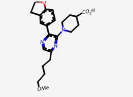 COCCCCc1cnc(-c2ccc3c(c2)CCO3)c(N2CCC(C(=O)O)CC2)n1